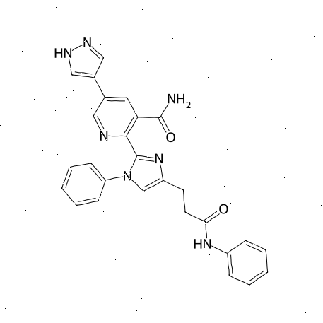 NC(=O)c1cc(-c2cn[nH]c2)cnc1-c1nc(CCC(=O)Nc2ccccc2)cn1-c1ccccc1